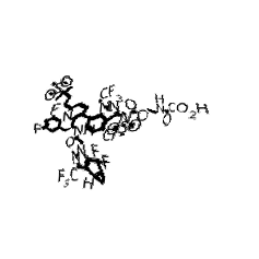 CC(C)(CCc1ccc(-c2ccc(Cl)c3c(N(C(=O)OCCNC(=O)C(=O)O)S(C)(=O)=O)nn(CC(F)(F)F)c23)c([C@H](Cc2cc(F)cc(F)c2)NC(=O)Cn2nc(C(F)(F)F)c3c2C(F)(F)C2C[C@H]32)n1)S(C)(=O)=O